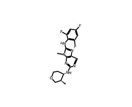 C[C@H]1COCC[C@@H]1Nc1ncc2nc(Nc3c(F)cc(F)cc3F)n(C)c2n1